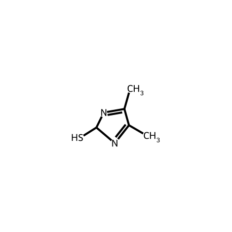 CC1=NC(S)N=C1C